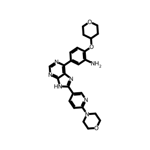 Nc1cc(-c2ncnc3[nH]c(-c4ccc(N5CCOCC5)nc4)nc23)ccc1OC1CCOCC1